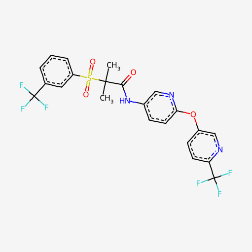 CC(C)(C(=O)Nc1ccc(Oc2ccc(C(F)(F)F)nc2)nc1)S(=O)(=O)c1cccc(C(F)(F)F)c1